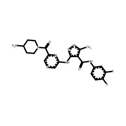 Cc1nsc(Nc2cncc(C(=O)N3CCC(N)CC3)n2)c1C(=O)Nc1ccc(F)c(F)c1